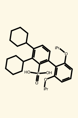 CC(C)Oc1cccc(OC(C)C)c1-c1ccc(C2CCCCC2)c(C2CCCCC2)c1P(=O)(O)O